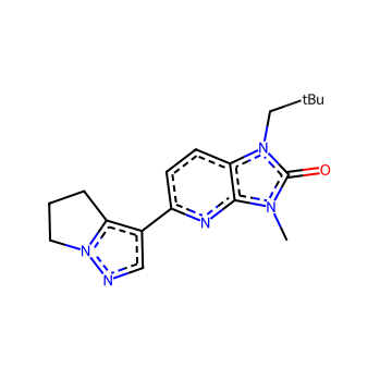 Cn1c(=O)n(CC(C)(C)C)c2ccc(-c3cnn4c3CCC4)nc21